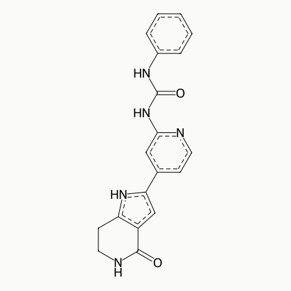 O=C(Nc1ccccc1)Nc1cc(-c2cc3c([nH]2)CCNC3=O)ccn1